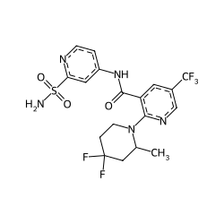 CC1CC(F)(F)CCN1c1ncc(C(F)(F)F)cc1C(=O)Nc1ccnc(S(N)(=O)=O)c1